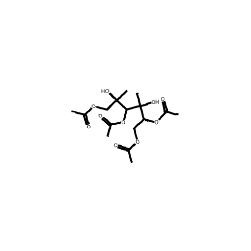 CC(=O)OCC(OC(C)=O)C(C)(O)C(OC(C)=O)C(C)(O)COC(C)=O